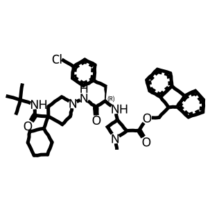 CN1CC(N[C@H](Cc2ccc(Cl)cc2)C(=O)NN2CCC(C(=O)NC(C)(C)C)(C3CCCCC3)CC2)C1C(=O)OCC1c2ccccc2-c2ccccc21